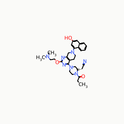 CCC(=O)N1CCN(c2nc(OCCN(C)C)nc3c2CCN(c2cc(O)cc4ccccc24)C3)C[C@@H]1CC#N